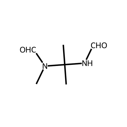 CN(C=O)C(C)(C)NC=O